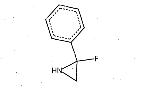 FC1(c2ccccc2)CN1